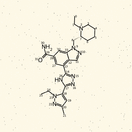 CCN1CCCC[C@@H]1Cn1ncc2c(-c3nnc(-c4cc(C)nn4CC)[nH]3)cc(C(N)=O)cc21